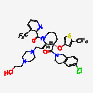 O=C(c1ncccc1C(F)(F)F)N1CCC[C@@](Oc2csc(C(F)(F)F)c2)(C(=O)N2CCc3cc(Cl)ccc3C2)[C@H]1CCN1CCN(CCO)CC1